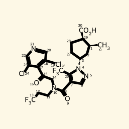 C[C@H]1C[C@H](n2ncc(C(=O)N(CCC(F)(F)F)CC(=O)c3c(Cl)cncc3Cl)c2C(F)(F)F)CC[C@H]1C(=O)O